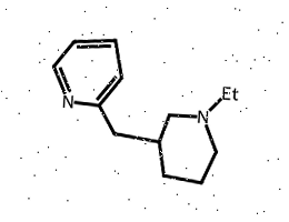 CCN1CCCC(Cc2ccccn2)C1